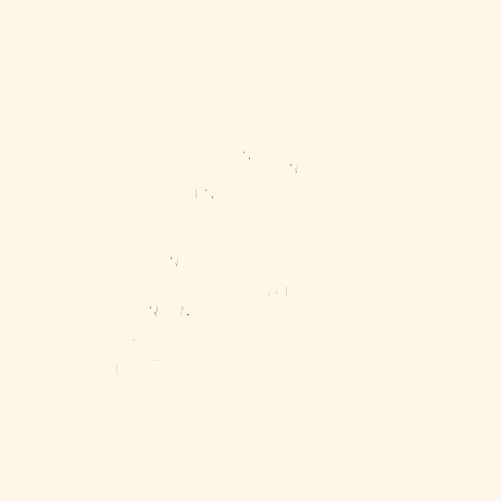 [2H]C([2H])([2H])n1cnc(C(C)Oc2c(O)cc(-c3cccc(Cl)c3)c3ncnc(N)c23)n1